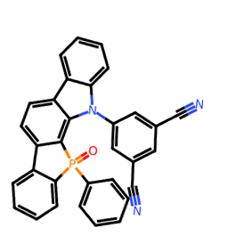 N#Cc1cc(C#N)cc(-n2c3ccccc3c3ccc4c(c32)P(=O)(c2ccccc2)c2ccccc2-4)c1